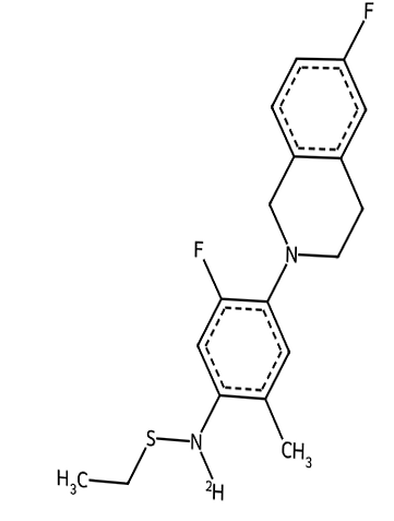 [2H]N(SCC)c1cc(F)c(N2CCc3cc(F)ccc3C2)cc1C